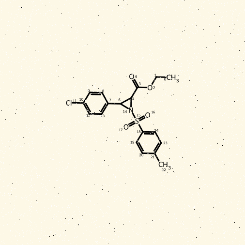 CCOC(=O)C1C(c2ccc(Cl)cc2)N1S(=O)(=O)c1ccc(C)cc1